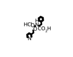 Cl.O=C(NC(Cc1ccccc1)C(=O)O)OCCc1cccnc1